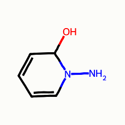 NN1C=CC=CC1O